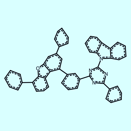 c1ccc(-c2cc(-c3cccc(-c4nc(-c5ccccc5)nc(-n5c6ccccc6c6ccccc65)n4)c3)c3c(c2)oc2c(-c4ccccc4)cccc23)cc1